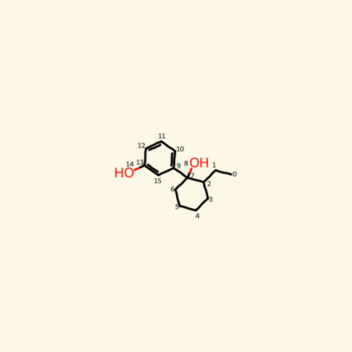 CCC1CCCCC1(O)c1cccc(O)c1